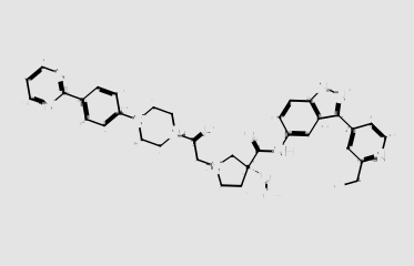 CCc1cc(-c2n[nH]c3ccc(NC(=O)[C@]4(OC)CCN(CC(=O)N5CCN(c6ccc(-c7ncccn7)cc6)CC5)C4)cc23)ccn1